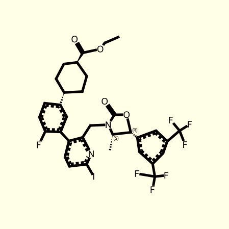 CCOC(=O)[C@H]1CC[C@H](c2ccc(F)c(-c3ccc(I)nc3CN3C(=O)O[C@H](c4cc(C(F)(F)F)cc(C(F)(F)F)c4)[C@@H]3C)c2)CC1